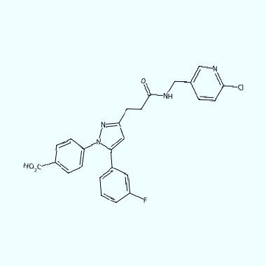 O=C(CCc1cc(-c2cccc(F)c2)n(-c2ccc(C(=O)O)cc2)n1)NCc1ccc(Cl)nc1